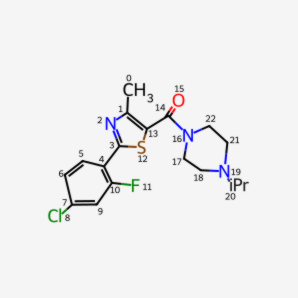 Cc1nc(-c2ccc(Cl)cc2F)sc1C(=O)N1CCN(C(C)C)CC1